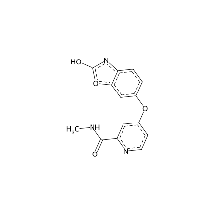 CNC(=O)c1cc(Oc2ccc3nc(O)oc3c2)ccn1